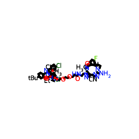 CCOc1cc(C(C)(C)C)ccc1C1=N[C@@](C)(c2ccc(Cl)cc2)[C@@](C)(c2ccc(Cl)cc2)N1C(=O)N1CCN(CCOCCOCCC(=O)NCCn2nc(C#N)c3c2CN(C)C(=O)c2ccc(F)cc2[C@H]2CCCN2c2nc-3cnc2N)CC1